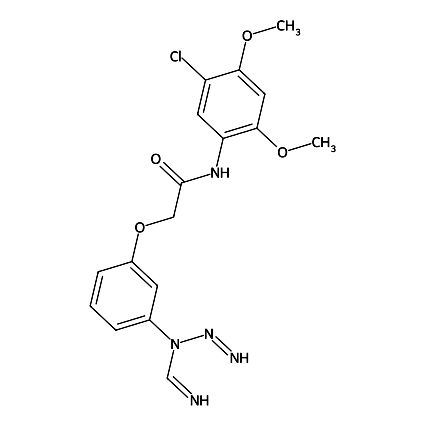 COc1cc(OC)c(NC(=O)COc2cccc(N(C=N)N=N)c2)cc1Cl